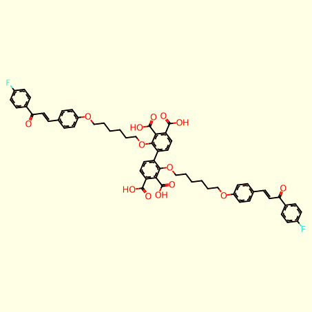 O=C(/C=C/c1ccc(OCCCCCCOc2c(-c3ccc(C(=O)O)c(C(=O)O)c3OCCCCCCOc3ccc(/C=C/C(=O)c4ccc(F)cc4)cc3)ccc(C(=O)O)c2C(=O)O)cc1)c1ccc(F)cc1